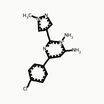 Cn1cc(-c2nc(-c3ccc(Cl)cc3)cc(N)[n+]2N)cn1